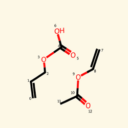 C=CCOC(=O)O.C=COC(C)=O